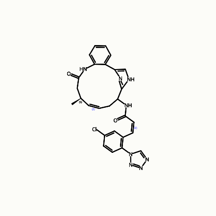 C[C@@H]1/C=C\CC(NC(=O)/C=C\c2cc(Cl)ccc2-n2cnnn2)c2nc(c[nH]2)-c2ccccc2NC(=O)C1